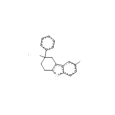 O=C(O)C1(c2ccccc2)CCc2[nH]c3ccc(Cl)cc3c2C1